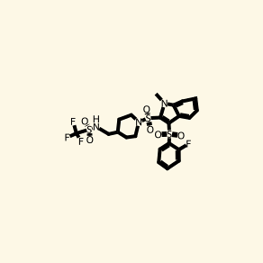 Cn1c(S(=O)(=O)N2CCC(CNS(=O)(=O)C(F)(F)F)CC2)c(S(=O)(=O)c2ccccc2F)c2ccccc21